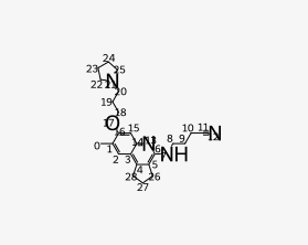 Cc1cc2c3c(c(NCCCC#N)nc2cc1OCCCN1CCCC1)CCC3